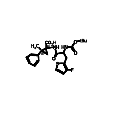 CC(C)(C)OC(=O)NC(Cc1sccc1F)C(=O)N[C@]1(C(=O)O)C[C@]1(C)c1ccccc1